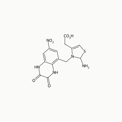 NC1SC=C(CC(=O)O)N1Cc1cc([N+](=O)[O-])cc2[nH]c(=O)c(=O)[nH]c12